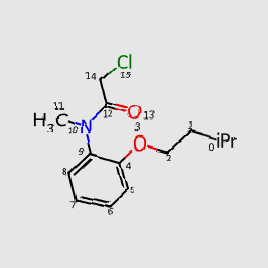 CC(C)CCOc1ccccc1N(C)C(=O)CCl